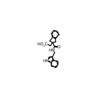 O=C(O)CC1(C(=O)NCc2c[nH]c3ccccc23)Cc2ccccc2C1